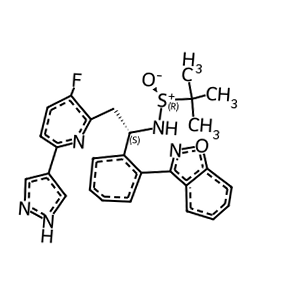 CC(C)(C)[S@+]([O-])N[C@@H](Cc1nc(-c2cn[nH]c2)ccc1F)c1ccccc1-c1noc2ccccc12